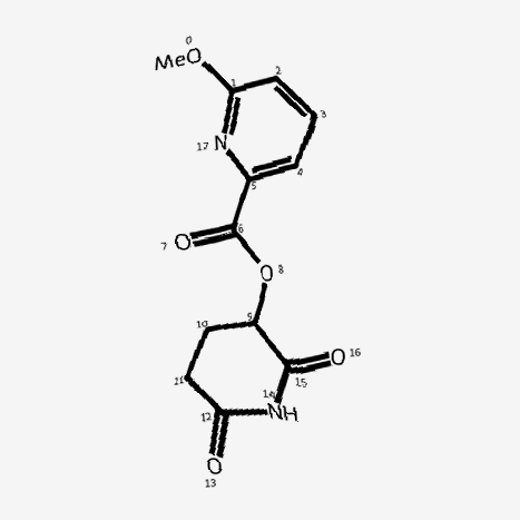 COc1cccc(C(=O)OC2CCC(=O)NC2=O)n1